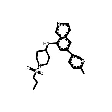 CCCS(=O)(=O)N1CCC(Nc2cc(-c3ccc(C)nc3)cc3ccncc23)CC1